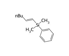 CCCCC=C[Si](C)(C)c1ccccc1